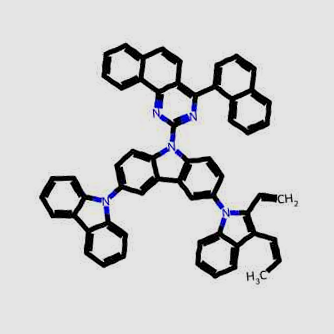 C=Cc1c(/C=C\C)c2ccccc2n1-c1ccc2c(c1)c1cc(-n3c4ccccc4c4ccccc43)ccc1n2-c1nc(-c2cccc3ccccc23)c2ccc3ccccc3c2n1